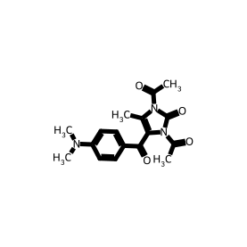 CC(=O)n1c(C)c(C(=O)c2ccc(N(C)C)cc2)n(C(C)=O)c1=O